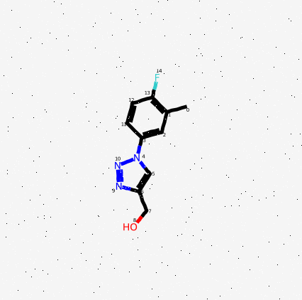 Cc1cc(-n2cc(CO)nn2)ccc1F